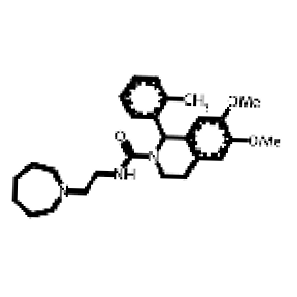 COc1cc2c(cc1OC)C(c1ccccc1C)N(C(=O)NCCN1CCCCCC1)CC2